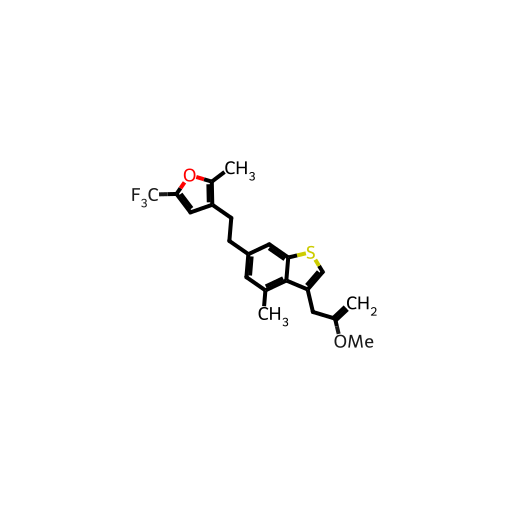 C=C(Cc1csc2cc(CCc3cc(C(F)(F)F)oc3C)cc(C)c12)OC